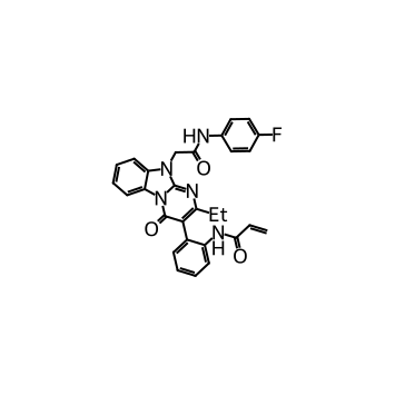 C=CC(=O)Nc1ccccc1-c1c(CC)nc2n(CC(=O)Nc3ccc(F)cc3)c3ccccc3n2c1=O